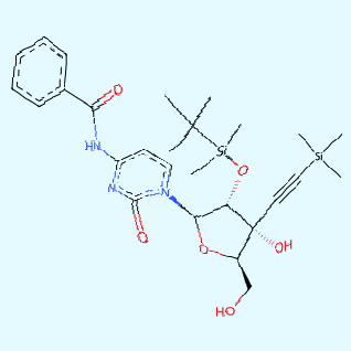 CC(C)(C)[Si](C)(C)O[C@H]1[C@H](n2ccc(NC(=O)c3ccccc3)nc2=O)O[C@H](CO)[C@]1(O)C#C[Si](C)(C)C